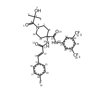 CC(C)(O)C(=O)N1CCC(NC(=O)/C=C/c2ccc(F)cc2)(C(=O)Nc2cc(C(F)(F)F)cc(C(F)(F)F)c2)CC1